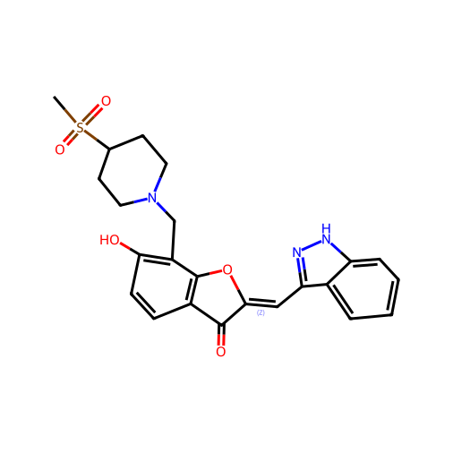 CS(=O)(=O)C1CCN(Cc2c(O)ccc3c2O/C(=C\c2n[nH]c4ccccc24)C3=O)CC1